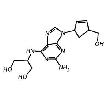 Nc1nc(NC(CO)CO)c2ncn(C3C=CC(CO)C3)c2n1